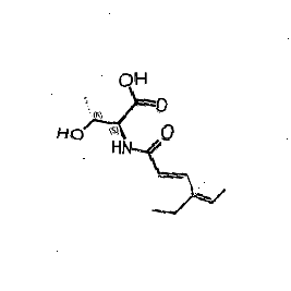 CC=C(C=CC(=O)N[C@H](C(=O)O)[C@@H](C)O)CC